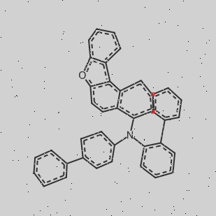 c1ccc(-c2ccc(N(c3ccccc3-c3ccccc3)c3cccc4c3ccc3oc5ccccc5c34)cc2)cc1